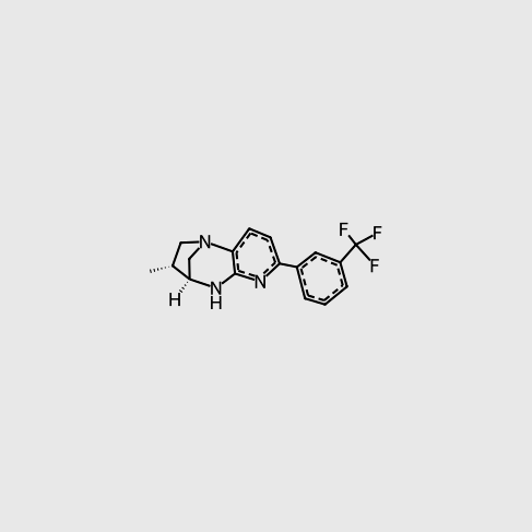 C[C@@H]1CN2C[C@H]1Nc1nc(-c3cccc(C(F)(F)F)c3)ccc12